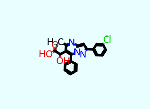 Cc1nc2cc(-c3cccc(Cl)c3)nn2c(-c2ccccc2)c1C(O)C(=O)O